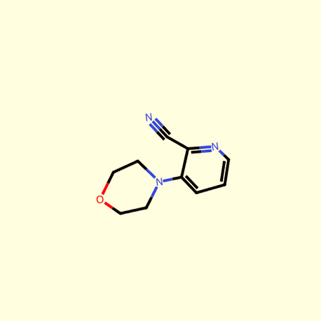 N#Cc1ncccc1N1CCOCC1